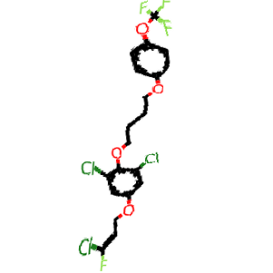 FC(Cl)=CCOc1cc(Cl)c(OCCCCOc2ccc(OC(F)(F)F)cc2)c(Cl)c1